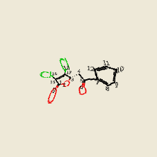 O=C1O[C@@H](CC(=O)c2ccccc2)C(Cl)=C1Cl